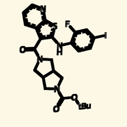 CC(C)(C)OC(=O)N1CC2CN(C(=O)c3c(Nc4ccc(I)cc4F)sc4ncccc34)CC2C1